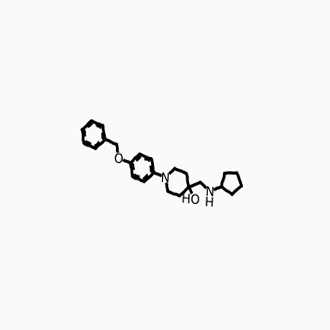 OC1(CNC2CCCC2)CCN(c2ccc(OCc3ccccc3)cc2)CC1